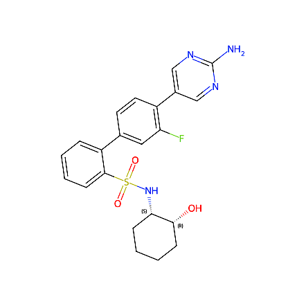 Nc1ncc(-c2ccc(-c3ccccc3S(=O)(=O)N[C@H]3CCCC[C@H]3O)cc2F)cn1